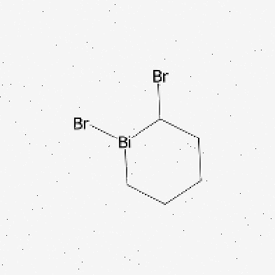 Br[CH]1CCC[CH2][Bi]1[Br]